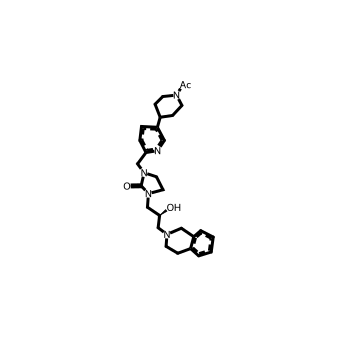 CC(=O)N1CCC(c2ccc(CN3CCN(C[C@@H](O)CN4CCc5ccccc5C4)C3=O)nc2)CC1